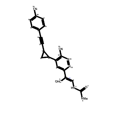 CNC(=O)N/C=C(\C=O)c1cc(C2CC2C#Cc2ccc(C#N)cc2)c(C#N)nn1